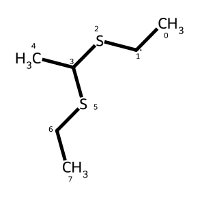 C[CH]SC(C)SCC